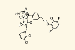 O=C(C1=C(c2ccc(CCCOc3c(F)ccc(F)c3Cl)cc2)C[C@@H]2CNC[C@H]1N2)N(Cc1cccc(Cl)c1Cl)C1CC1